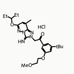 CCC(CC)Oc1cc(C)c2nn(CC(=O)c3cc(OCCOC)cc(C(C)(C)C)c3)c(=N)n2n1.Cl